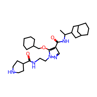 CC(NC(=O)c1cnn(CCNC(=O)C2CCNCC2)c1OCC1CCCCC1)C1CC2CCCC(C2)C1